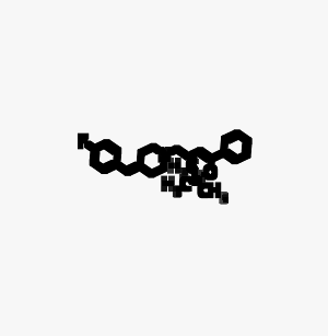 C[Si](C)(C)O/C(=C\CCN1CCC(=Cc2ccc(F)cc2)CC1)c1ccccc1